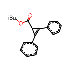 CCC(C)OC(=O)C1C(c2ccccc2)=C1c1ccccc1